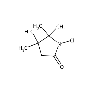 CC1(C)CC(=O)N(Cl)C1(C)C